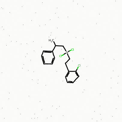 CC(C[Si](Cl)(Cl)CCc1ccccc1Cl)c1ccccc1